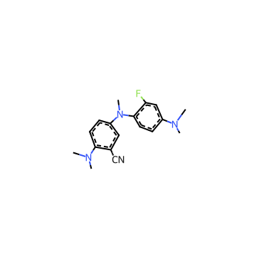 CN(C)c1ccc(N(C)c2ccc(N(C)C)c(C#N)c2)c(F)c1